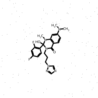 CN(C)c1ccc2c(c1)N(C)C(O)(c1ccc(F)cc1F)N(CCCn1cncn1)C2=O